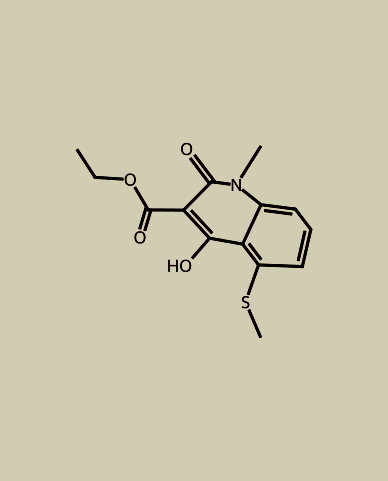 CCOC(=O)c1c(O)c2c(SC)cccc2n(C)c1=O